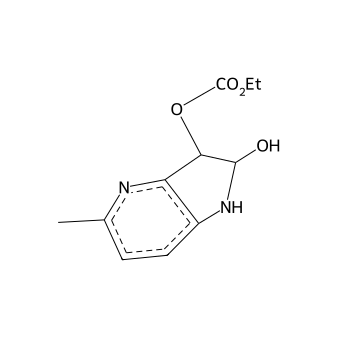 CCOC(=O)OC1c2nc(C)ccc2NC1O